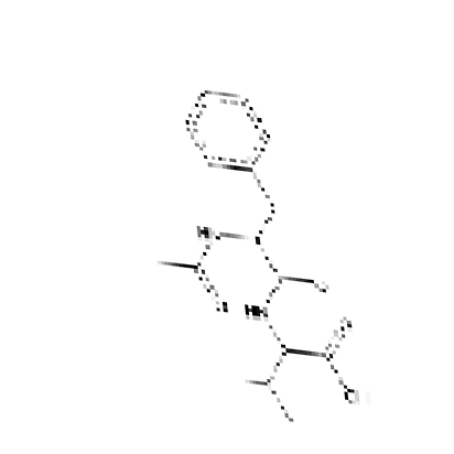 CC(=O)NC(Cc1ccccc1)C(=O)NC(C(=O)O)C(C)C